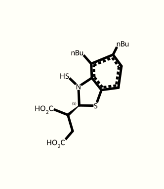 CCCCc1ccc2c(c1CCCC)N(S)[C@H](C(CC(=O)O)C(=O)O)S2